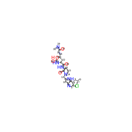 CC(C)Cc1c(Cl)cnc2cc(Cn3cccc(NC(=O)C(CC/C=C/C(=O)N(C)C)NC(=O)O)c3=O)[nH]c12